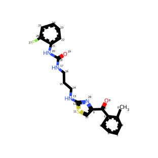 Cc1ccccc1C(=O)c1csc(NCCCNC(=O)Nc2ccccc2F)n1